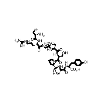 N=C(N)NCCC[C@H](NC(=O)[C@@H](N)CS)C(=O)NCC(=O)N[C@@H](CC(=O)O)C(=O)N[C@@H](CO)C(=O)N1CCC[C@H]1C(=O)N[C@@H](CS)C(=O)N[C@@H](Cc1ccc(O)cc1)C(=O)O